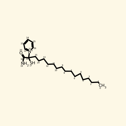 CCCCCCCCCCCCCCCCC(S)(C(N)=O)[n+]1ccccc1